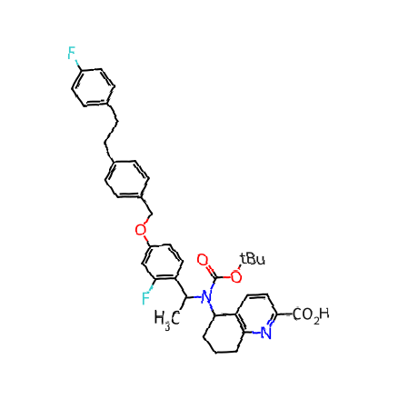 CC(c1ccc(OCc2ccc(CCc3ccc(F)cc3)cc2)cc1F)N(C(=O)OC(C)(C)C)C1CCCc2nc(C(=O)O)ccc21